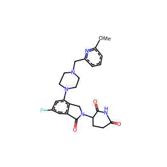 COc1cccc(CN2CCN(c3cc(F)cc4c3CN(C3CCC(=O)NC3=O)C4=O)CC2)n1